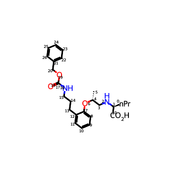 CCC[C@H](NC[C@@H](C)Oc1ccccc1CCCNC(=O)OCc1ccccc1)C(=O)O